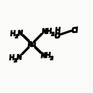 OCl.[NH2][Ru]([NH2])([NH2])[NH2]